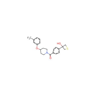 O=C(c1ccc(C2(O)CSC2)cc1)N1CCC(Oc2cccc(C(F)(F)F)c2)CC1